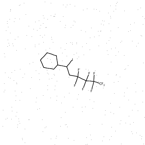 FC(F)(F)C(F)(F)C(F)(F)C(F)(F)CC(I)C1CCCCC1